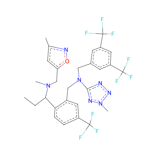 CCC(c1ccc(C(F)(F)F)cc1CN(Cc1cc(C(F)(F)F)cc(C(F)(F)F)c1)c1nnn(C)n1)N(C)Cc1cc(C)no1